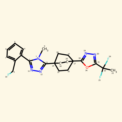 Cn1c(-c2ccccc2CF)nnc1C12CCC(c3nnc(C(C)(F)F)o3)(CC1)CC2